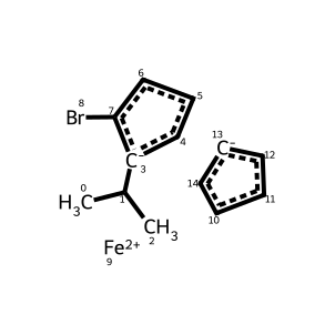 CC(C)[c-]1cccc1Br.[Fe+2].c1cc[cH-]c1